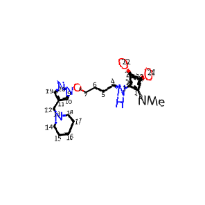 CNc1c(NCCCCOn2cc(CN3CCCCC3)cn2)c(=O)c1=O